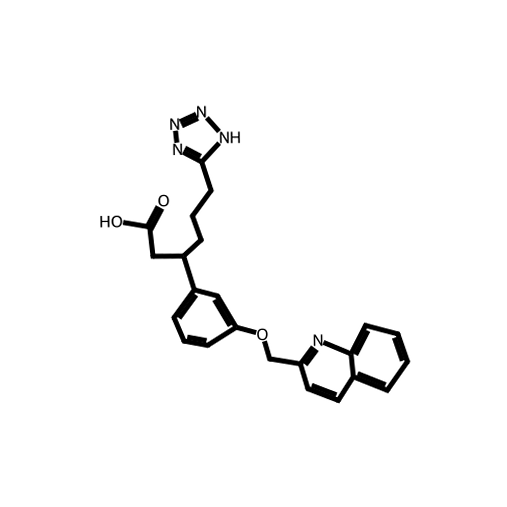 O=C(O)CC(CCCc1nnn[nH]1)c1cccc(OCc2ccc3ccccc3n2)c1